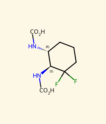 O=C(O)N[C@@H]1CCCC(F)(F)[C@H]1NC(=O)O